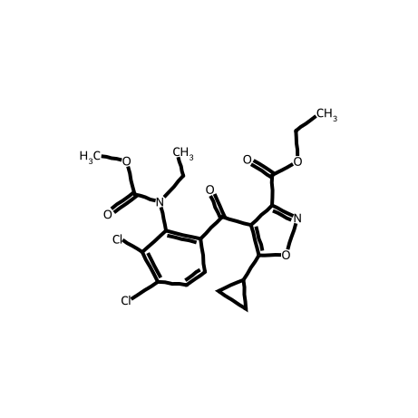 CCOC(=O)c1noc(C2CC2)c1C(=O)c1ccc(Cl)c(Cl)c1N(CC)C(=O)OC